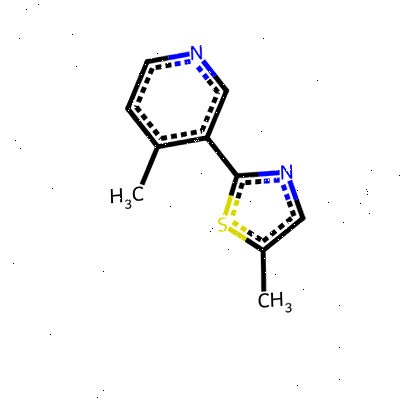 Cc1cnc(-c2cnccc2C)s1